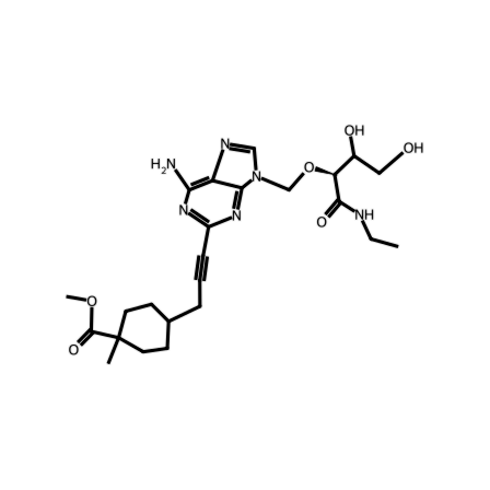 CCNC(=O)[C@@H](OCn1cnc2c(N)nc(C#CCC3CCC(C)(C(=O)OC)CC3)nc21)C(O)CO